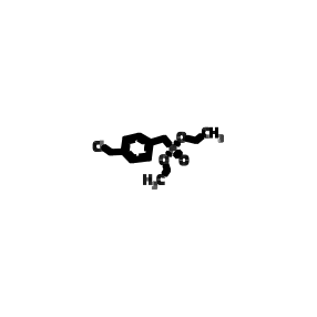 CCOP(=O)(Cc1ccc(CCl)cc1)OCC